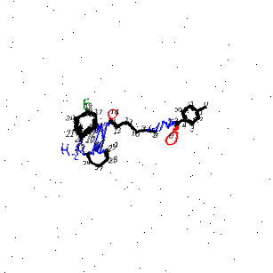 Cc1ccc(C(=O)NCCCCCC(=O)N(c2cc(F)ccc2N)N2CCCCC2)cc1